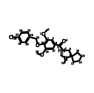 COc1cc(C(=O)NCC2(N(C)C)CCCC2)cc(OC)c1OCc1ccc(Cl)cc1